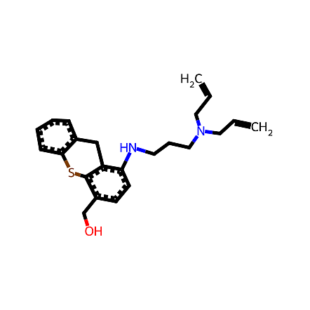 C=CCN(CC=C)CCCNc1ccc(CO)c2c1Cc1ccccc1S2